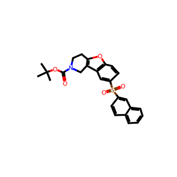 CC(C)(C)OC(=O)N1CCc2oc3ccc(S(=O)(=O)c4ccc5ccccc5c4)cc3c2C1